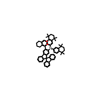 CC1(C)CCC(C)(C)c2cc(N(c3ccc4c(c3)C(C)(C)CCC4(C)C)c3cc4c(cc3-c3cccc5c3CCCC5)-c3ccccc3C43c4ccccc4-c4ccccc43)ccc21